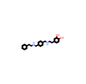 Oc1ccc(CCNCc2ccc(CNCCc3ccccc3)cc2)cc1O